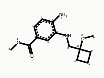 COC(=O)c1ccc(N)c(NCC2(OC)CCC2)c1